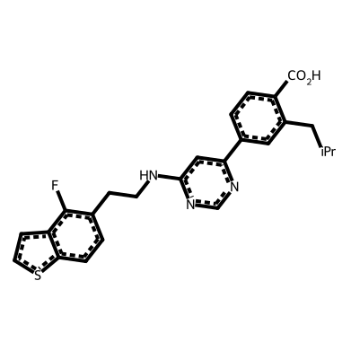 CC(C)Cc1cc(-c2cc(NCCc3ccc4sccc4c3F)ncn2)ccc1C(=O)O